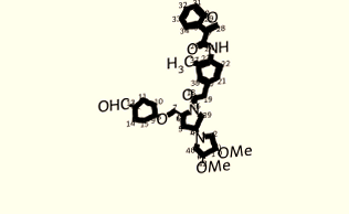 CO[C@H]1CN([C@H]2C[C@@H](CO[C@H]3CC[C@H](C=O)CC3)N(C(=O)Cc3ccc(NC(=O)c4coc5ccccc45)c(C)c3)C2)C[C@H]1OC